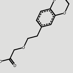 O=C(O)COCCc1ccc2c(c1)OCCO2